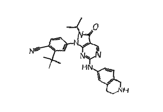 CC(C)n1c(=O)c2cnc(Nc3ccc4c(c3)CCNC4)nc2n1-c1ccc(C#N)c(C(C)(C)C)c1